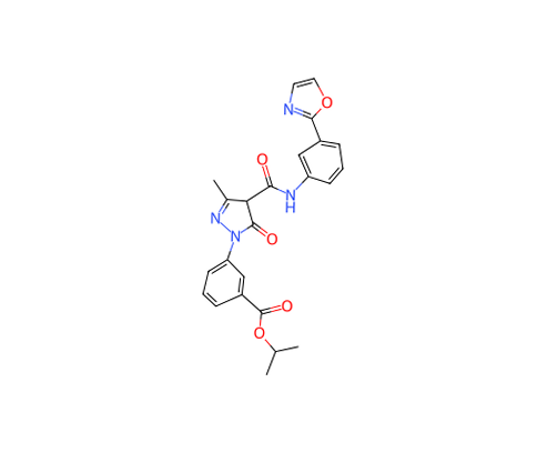 CC1=NN(c2cccc(C(=O)OC(C)C)c2)C(=O)C1C(=O)Nc1cccc(-c2ncco2)c1